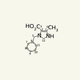 CC1=C(C(=O)O)N(Cc2ccccc2)CN1